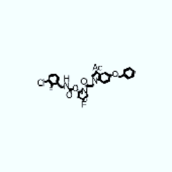 CC(=O)c1cn(CC(=O)N2C[C@H](F)C[C@@H]2OC(=O)NCc2cccc(Cl)c2F)c2ccc(OCc3ccccc3)cc12